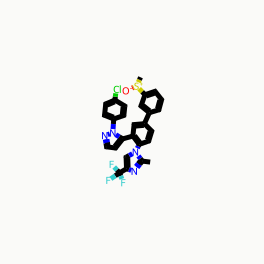 Cc1nc(C(F)(F)F)cn1-c1ccc(-c2cccc([S+](C)[O-])c2)cc1-c1ccnn1-c1ccc(Cl)cc1